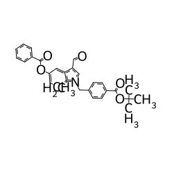 C=c1/c(=C\C(=C/C)OC(=O)c2ccccc2)c(C=O)cn1Cc1ccc(C(=O)OC(C)(C)C)cc1